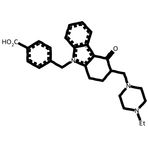 CCN1CCN(CC2CCc3c(c4ccccc4n3Cc3ccc(C(=O)O)cc3)C2=O)CC1